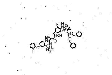 Cc1cc(Oc2ccccc2F)ccc1-n1ncc(C(=O)c2cc3cc(F)c(NS(=O)(=O)C4(CC(COCc5ccccc5)OCc5ccccc5)CC4)cc3[nH]2)c1N